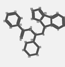 O=C(OC(CC1c2ccccc2-c2cncn21)C1CCCCC1)c1ccccc1